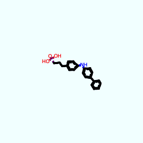 O=P(O)(O)CCCc1ccc(Nc2ccc(-c3ccccc3)cc2)cc1